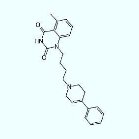 Cc1cccc2c1c(=O)[nH]c(=O)n2CCCCN1CC=C(c2ccccc2)CC1